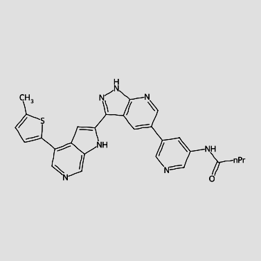 CCCC(=O)Nc1cncc(-c2cnc3[nH]nc(-c4cc5c(-c6ccc(C)s6)cncc5[nH]4)c3c2)c1